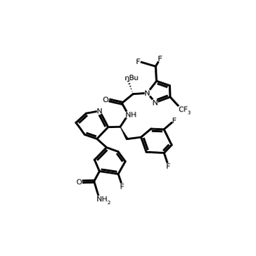 CCCC[C@@H](C(=O)N[C@@H](Cc1cc(F)cc(F)c1)c1ncccc1-c1ccc(F)c(C(N)=O)c1)n1nc(C(F)(F)F)cc1C(F)F